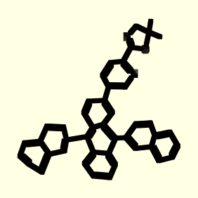 CC1(C)CN=C(c2ccc(-c3ccc4c(-c5ccc6ccccc6c5)c5ccccc5c(-c5ccc6ccccc6c5)c4c3)cn2)O1